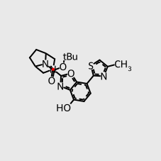 Cc1csc(-c2ccc(O)c3nc(N4CC5CCC(C4)N5C(=O)OC(C)(C)C)oc23)n1